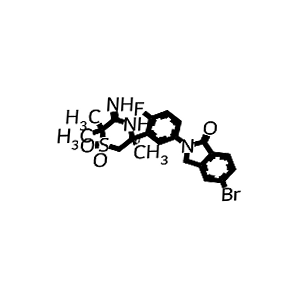 CC1(C)C(=N)N[C@](C)(c2cc(N3Cc4cc(Br)ccc4C3=O)ccc2F)CS1(=O)=O